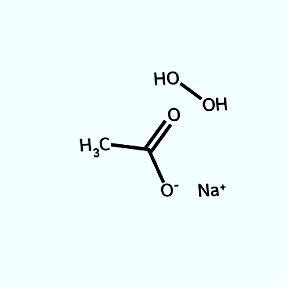 CC(=O)[O-].OO.[Na+]